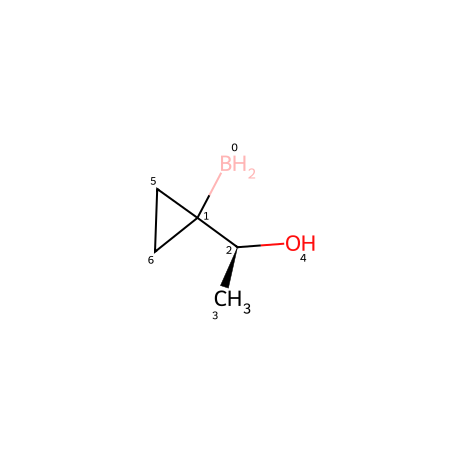 BC1([C@H](C)O)CC1